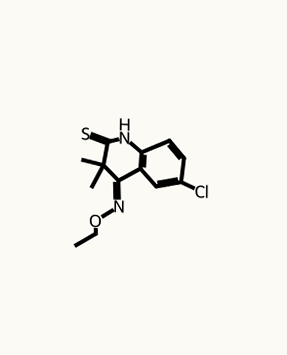 CCON=C1c2cc(Cl)ccc2NC(=S)C1(C)C